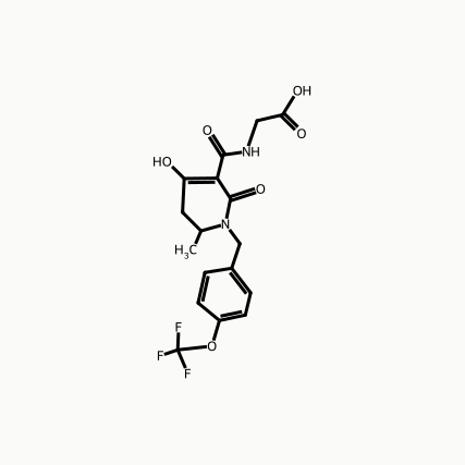 CC1CC(O)=C(C(=O)NCC(=O)O)C(=O)N1Cc1ccc(OC(F)(F)F)cc1